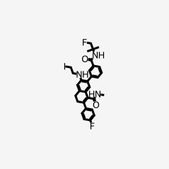 CNC(=O)C1=C(c2ccc(F)cc2)CCc2cc(NCCI)c(-c3cccc(C(=O)NC(C)(C)CF)c3)cc21